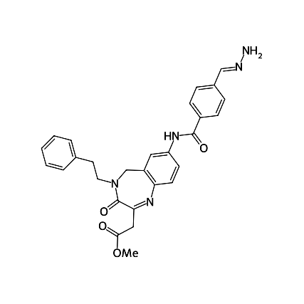 COC(=O)CC1=Nc2ccc(NC(=O)c3ccc(C=NN)cc3)cc2CN(CCc2ccccc2)C1=O